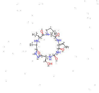 CCC1N[C@@H](C)C(=O)N2CCC[C@H]2C(=O)N[C@@H](CC(C)C)C(=O)NC(=O)N[C@@H](CO)c2nnc1o2